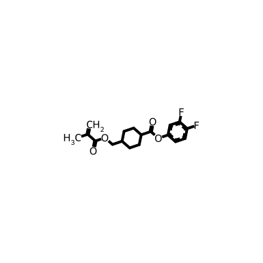 C=C(C)C(=O)OCC1CCC(C(=O)Oc2ccc(F)c(F)c2)CC1